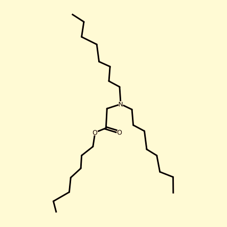 CCCCCCCCN(CCCCCCCC)CC(=O)OCCCCCCC